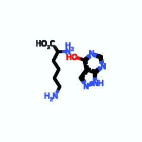 NCCCCC(N)C(=O)O.Oc1ncnc2[nH]ncc12